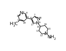 Cc1cncc(-c2cnn(C3CCN(N)CC3)c2)c1